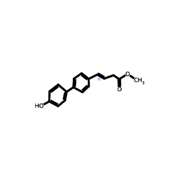 COC(=O)C/C=C/c1ccc(-c2ccc(O)cc2)cc1